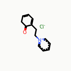 O=C1CC=CC=C1CC[n+]1ccccc1.[Cl-]